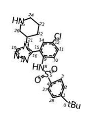 CC(C)(C)c1ccc(S(=O)(=O)Nc2ccc(Cl)cc2-c2nncn2C2CCCNC2)cc1